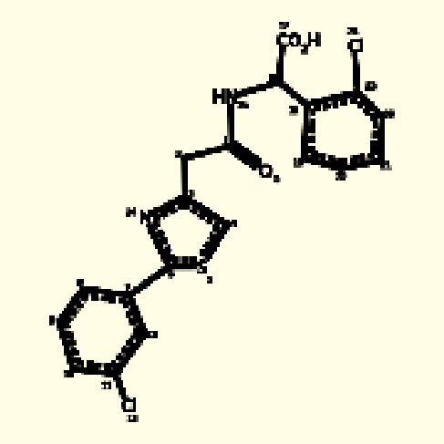 O=C(Cc1csc(-c2cccc(Cl)c2)n1)NC(C(=O)O)c1ccccc1Cl